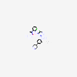 C=C(C(N)=O)c1ccccc1Nc1nc(Nc2ccc(C3CCN(C)CC3)cc2OC)ncc1Cl